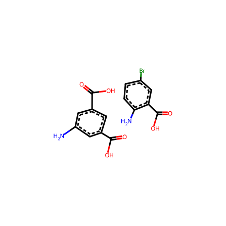 Nc1cc(C(=O)O)cc(C(=O)O)c1.Nc1ccc(Br)cc1C(=O)O